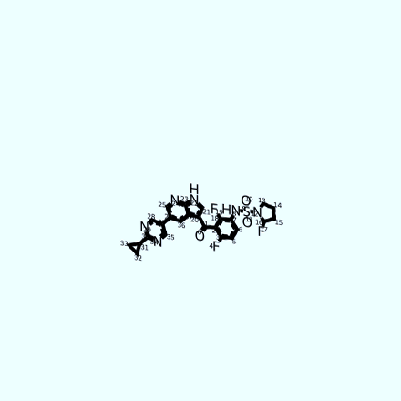 O=C(c1c(F)ccc(NS(=O)(=O)N2CCCC2F)c1F)c1c[nH]c2ncc(-c3cnc(C4CC4)nc3)cc12